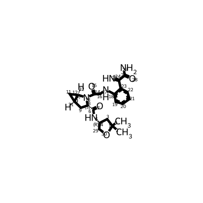 CC1(C)C[C@@H](NC(=O)[C@@H]2C[C@H]3C[C@H]3N2C(=O)CNc2ccccc2C(=N)C(N)=O)CO1